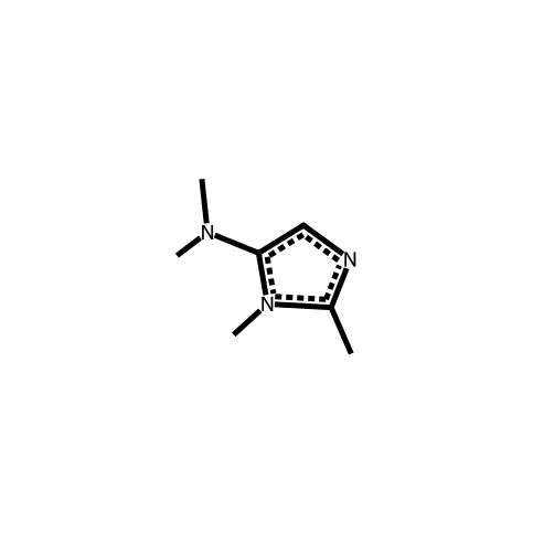 Cc1ncc(N(C)C)n1C